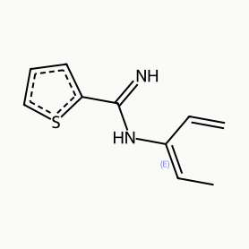 C=C/C(=C\C)NC(=N)c1cccs1